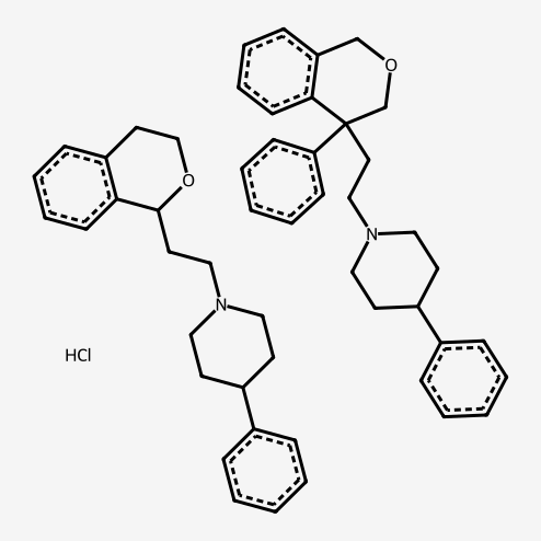 Cl.c1ccc(C2CCN(CCC3(c4ccccc4)COCc4ccccc43)CC2)cc1.c1ccc(C2CCN(CCC3OCCc4ccccc43)CC2)cc1